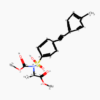 Cc1ccc(C#Cc2ccc(S(=O)(=O)N(C(=O)OC(C)(C)C)[C@H](C)C(=O)OC(C)(C)C)cc2)cc1